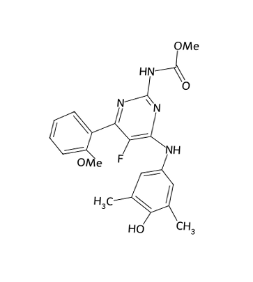 COC(=O)Nc1nc(Nc2cc(C)c(O)c(C)c2)c(F)c(-c2ccccc2OC)n1